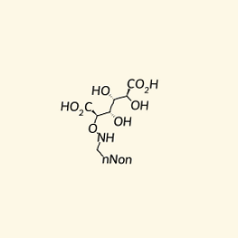 CCCCCCCCCCNO[C@@H](C(=O)O)[C@@H](O)[C@H](O)[C@H](O)C(=O)O